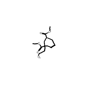 COC(=O)C1CCCC(CCCl)(C(=O)OC)C1